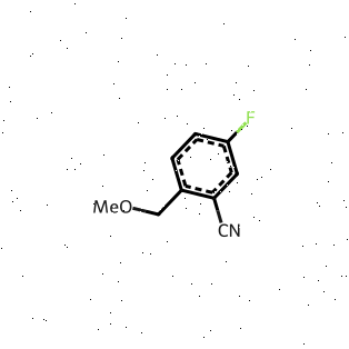 COCc1ccc(F)cc1C#N